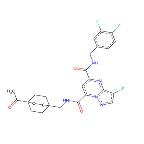 CC(=O)C12CCC(CNC(=O)c3cc(C(=O)NCc4ccc(F)c(F)c4)nc4c(F)cnn34)(CC1)CC2